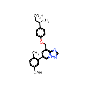 COc1ccc(C)c(-c2cc(COc3ccc([C@@H](C)CC(=O)O)cc3)c3ncnn3c2)c1